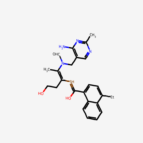 CCc1ccc(/C(O)=[SH]/C(CCO)=C(/C)N(C=O)Cc2cnc(C)nc2N)c2ccccc12